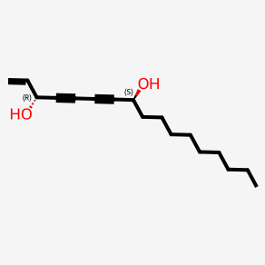 C=C[C@@H](O)C#CC#C[C@@H](O)CCCCCCCCC